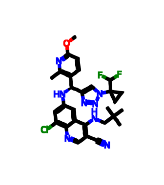 COc1ccc([C@H](Nc2cc(Cl)c3ncc(C#N)c(NCC(C)(C)C)c3c2)c2cn(C3(C(F)F)CC3)nn2)c(C)n1